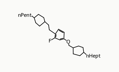 CCCCCCCC1CCC(COc2ccc(CCC3CCC(CCCCC)CC3)c(F)c2)CC1